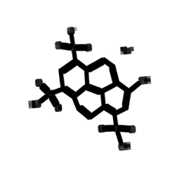 O=S(=O)([O-])c1cc(S(=O)(=O)O)c2ccc3c(S(=O)(=O)O)cc(O)c4ccc1c2c43.[Na+]